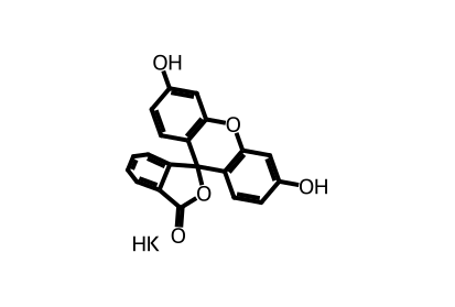 O=C1OC2(c3ccc(O)cc3Oc3cc(O)ccc32)c2ccccc21.[KH]